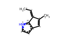 CC=C1C(C)=Cc2cc[nH]c21